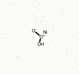 [Ni].[O-][Cl+]O